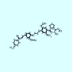 CCSC(SCC)[C@@H]1CCCN1C(=O)c1cc(CO)c(OCCOc2ccc(/C=C/C(=O)N3CCN(C)CC3)cc2OC)cc1[N+](=O)[O-]